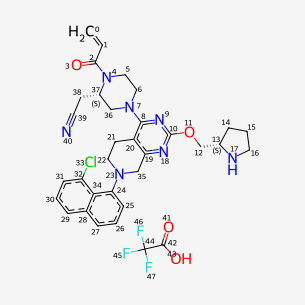 C=CC(=O)N1CCN(c2nc(OC[C@@H]3CCCN3)nc3c2CCN(c2cccc4cccc(Cl)c24)C3)C[C@@H]1CC#N.O=C(O)C(F)(F)F